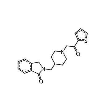 O=C(CN1CCC(CN2Cc3ccccc3C2=O)CC1)c1cccs1